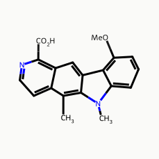 COc1cccc2c1c1cc3c(C(=O)O)nccc3c(C)c1n2C